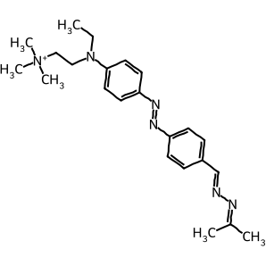 CCN(CC[N+](C)(C)C)c1ccc(N=Nc2ccc(C=NN=C(C)C)cc2)cc1